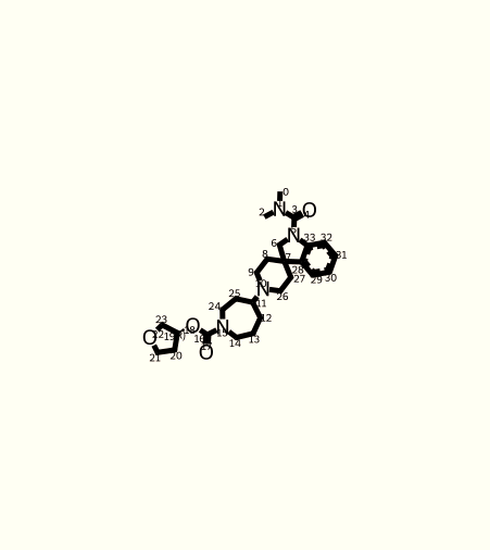 CN(C)C(=O)N1CC2(CCN(C3CCCN(C(=O)O[C@@H]4CCOC4)CC3)CC2)c2ccccc21